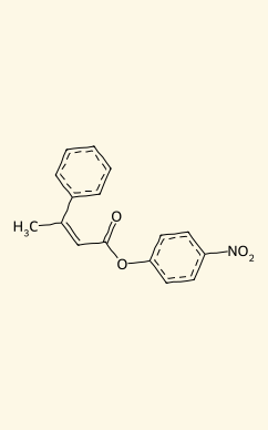 CC(=CC(=O)Oc1ccc([N+](=O)[O-])cc1)c1ccccc1